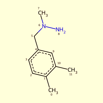 Cc1ccc(CN(C)N)cc1C